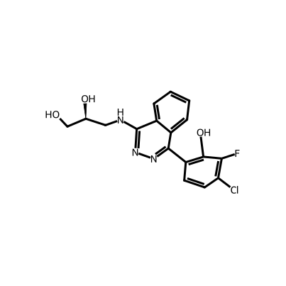 OC[C@@H](O)CNc1nnc(-c2ccc(Cl)c(F)c2O)c2ccccc12